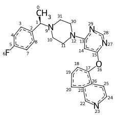 C[C@H](c1ccc(F)cc1)N1CCN(c2cc(Oc3cccc4cnccc34)ncn2)CC1